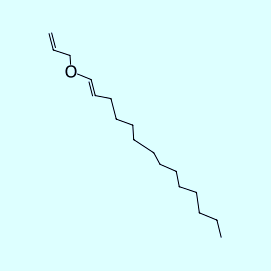 C=CCO/C=C/CCCCCCCCCCCC